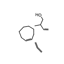 C1=CCCCCCC1.C=C=C.C=CC(C)CO